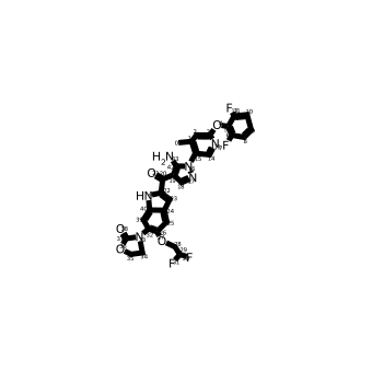 Cc1cc(Oc2c(F)cccc2F)ncc1-n1ncc(C(=O)c2cc3cc(OCC(F)F)c(N4CCOC4=O)cc3[nH]2)c1N